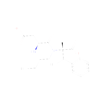 CCCCN(C(=O)[C@@H](N)CC(=O)O)[C@](C)(C(=O)O)C(C)c1ccccc1